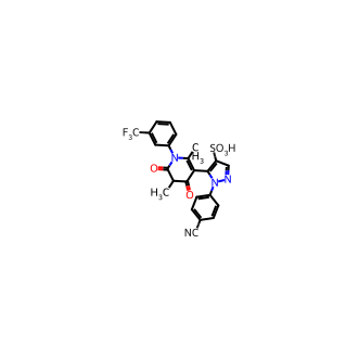 CC1=C(c2c(S(=O)(=O)O)cnn2-c2ccc(C#N)cc2)C(=O)C(C)C(=O)N1c1cccc(C(F)(F)F)c1